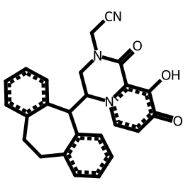 N#CCN1CC(C2c3ccccc3CCc3ccccc32)n2ccc(=O)c(O)c2C1=O